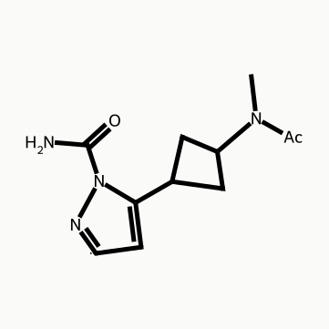 CC(=O)N(C)C1CC(c2c[c]nn2C(N)=O)C1